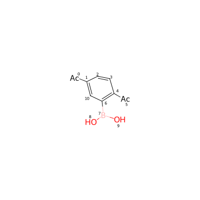 CC(=O)c1ccc(C(C)=O)c(B(O)O)c1